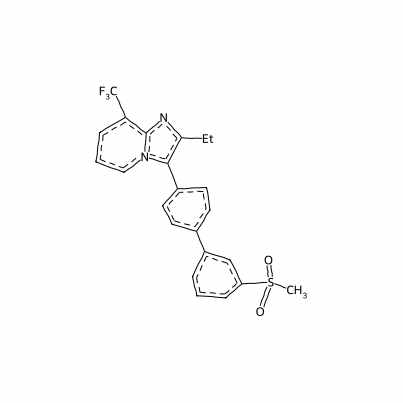 CCc1nc2c(C(F)(F)F)cccn2c1-c1ccc(-c2cccc(S(C)(=O)=O)c2)cc1